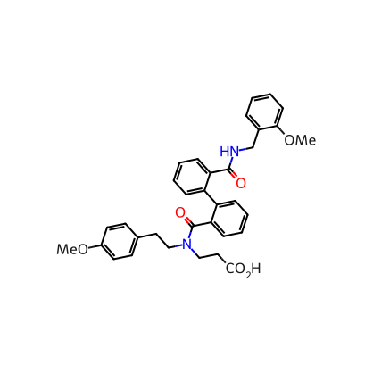 COc1ccc(CCN(CCC(=O)O)C(=O)c2ccccc2-c2ccccc2C(=O)NCc2ccccc2OC)cc1